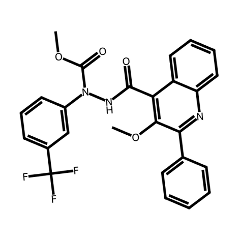 COC(=O)N(NC(=O)c1c(OC)c(-c2ccccc2)nc2ccccc12)c1cccc(C(F)(F)F)c1